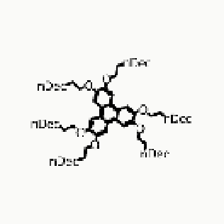 CCCCCCCCCCCCOc1cc2c3cc(OCCCCCCCCCCCC)c(OCCCCCCCCCCCC)cc3c3cc(OCCCCCCCCCCCC)c(OCCCCCCCCCCCC)cc3c2cc1OCCCCCCCCCCCC